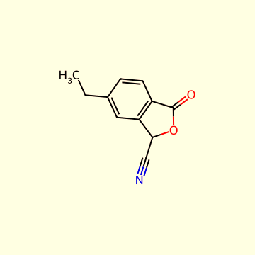 CCc1ccc2c(c1)C(C#N)OC2=O